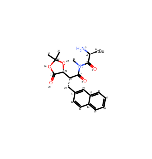 CN(C(=O)[C@@H](N)C(C)(C)C)C(=O)[C@H](Cc1ccc2ccccc2c1)[C@@H]1OC(C)(C)OC1=O